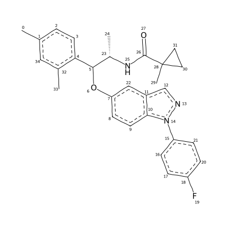 Cc1ccc(C(Oc2ccc3c(cnn3-c3ccc(F)cc3)c2)[C@H](C)NC(=O)C2(C)CC2)c(C)c1